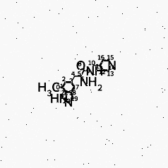 Cc1cc(CC(N)C(=O)NCc2ccncc2)cc2cn[nH]c12